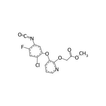 COC(=O)COc1ncccc1Oc1cc(N=C=O)c(F)cc1Cl